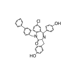 O=C1C(Cc2ccc(O)cc2)N=C(c2ccc(O)cc2)c2cc(Cl)ccc2N1Cc1ccc(-c2ccccc2)cc1